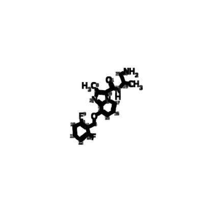 Cc1nc2c(OCc3c(F)cccc3F)cccn2c1C(=O)NC(C)CN